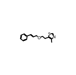 Cc1ncsc1CCOC/C=C/c1ccccc1